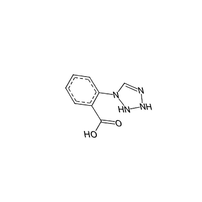 O=C(O)c1ccccc1N1C=NNN1